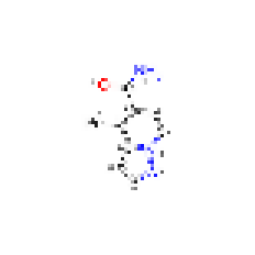 CC(C)c1c(C(N)=O)ccn2nccc12